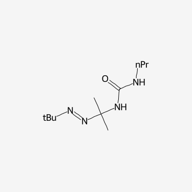 CCCNC(=O)NC(C)(C)N=NC(C)(C)C